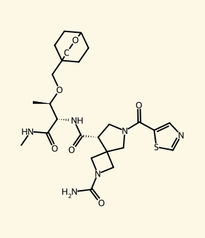 CNC(=O)[C@@H](NC(=O)[C@@H]1CN(C(=O)c2cncs2)CC12CN(C(N)=O)C2)[C@@H](C)OCC12CCC(CC1)OC2